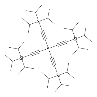 CC(C)[Si](C#[C][Al-]([C]#C[Si](C(C)C)(C(C)C)C(C)C)([C]#C[Si](C(C)C)(C(C)C)C(C)C)[C]#C[Si](C(C)C)(C(C)C)C(C)C)(C(C)C)C(C)C